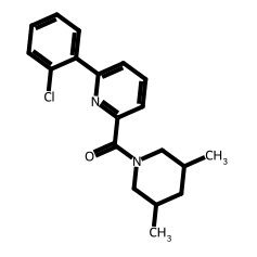 CC1CC(C)CN(C(=O)c2cccc(-c3ccccc3Cl)n2)C1